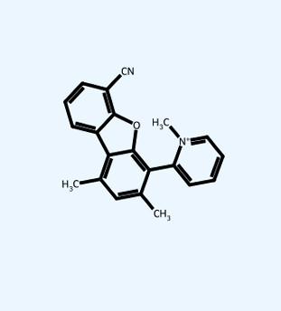 Cc1cc(C)c2c(oc3c(C#N)cccc32)c1-c1cccc[n+]1C